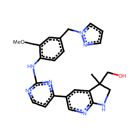 COc1cc(Cn2cccn2)ccc1Nc1nccc(-c2cnc3c(c2)C(C)(CO)CN3)n1